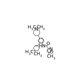 Cc1cc(C(=O)Nc2ccc(C3CCC[N+](C)(C)CC3)cc2C2=CCC(C)(C)CC2)no1